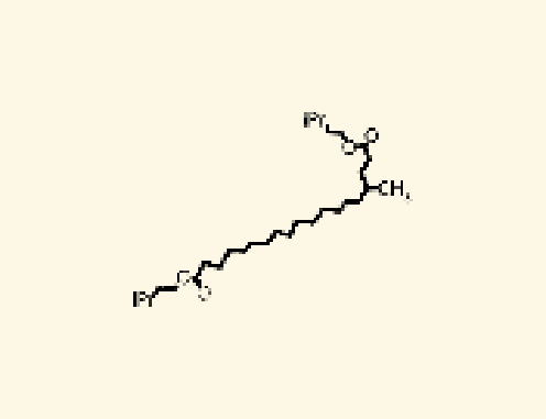 CC(C)CCOC(=O)CCCCCCCCCCCCCCC(C)CCC(=O)OCCC(C)C